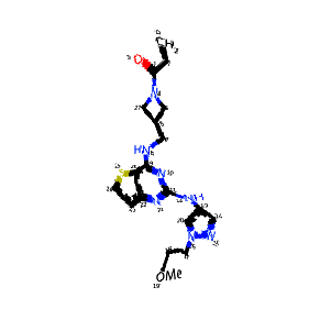 C=CC(=O)N1CC(CNc2nc(Nc3cnn(CCOC)c3)nc3ccsc23)C1